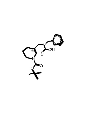 CC(C)(C)OC(=O)N1CCC[C@@H](CN(Cc2ccccc2)C(=O)O)C1